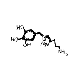 NCCCc1cn(Cc2cc(O)c(O)c(O)c2)nn1